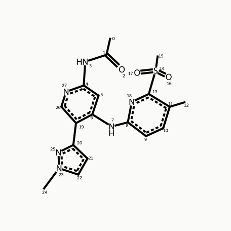 CC(=O)Nc1cc(Nc2ccc(C)c(S(C)(=O)=O)n2)c(-c2ccn(C)n2)cn1